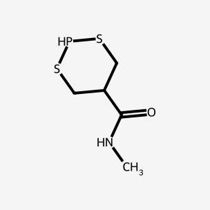 CNC(=O)C1CSPSC1